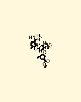 CCOC(=O)c1cc(C)cc(OC2=C3NC(=O)CN=C3NC(Oc3cc(C(=N)N)ccc3C)=N2)c1